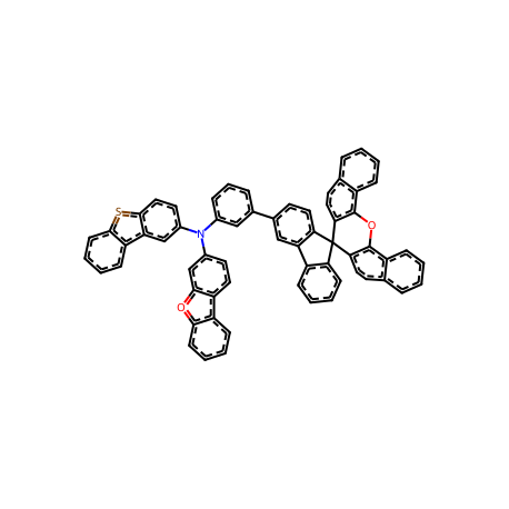 c1cc(-c2ccc3c(c2)-c2ccccc2C32c3ccc4ccccc4c3Oc3c2ccc2ccccc32)cc(N(c2ccc3c(c2)oc2ccccc23)c2ccc3sc4ccccc4c3c2)c1